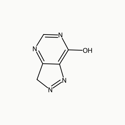 Oc1ncnc2c1N=NC2